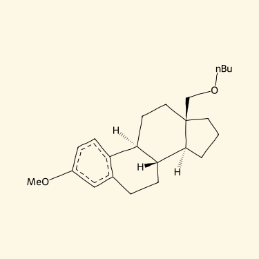 CCCCOC[C@@]12CCC[C@H]1[C@@H]1CCc3cc(OC)ccc3[C@H]1CC2